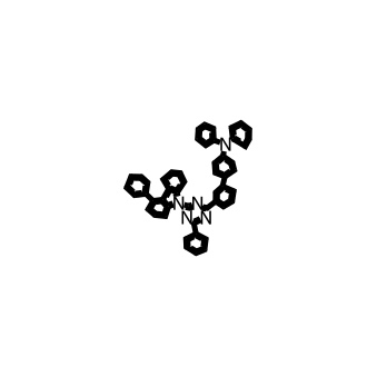 c1ccc(-c2nc(-c3cccc(-c4ccc(N(c5ccccc5)c5ccccc5)cc4)c3)nc(-n3c4ccccc4c4c(-c5ccccc5)cccc43)n2)cc1